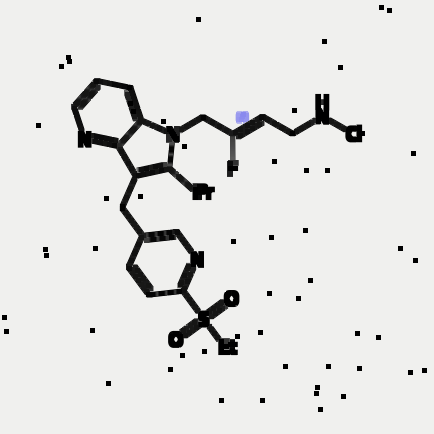 CCS(=O)(=O)c1ccc(Cc2c(C(C)C)n(C/C(F)=C/CNCl)c3cccnc23)cn1